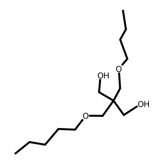 CCCCCOCC(CO)(CO)COCCCC